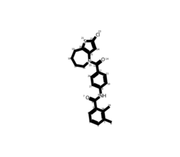 Cc1cccc(C(=O)Nc2ccc(C(=O)N3CCCCc4sc(Cl)cc43)cc2)c1C